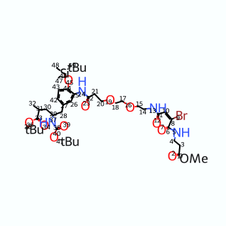 COC(=O)CCNC(=O)/C(Br)=C\C(=O)NCCOCCOCCC(=O)Nc1cc(CC(CC(C)C(=O)OC(C)(C)C)NC(=O)OC(C)(C)C)ccc1O[Si](C)(C)C(C)(C)C